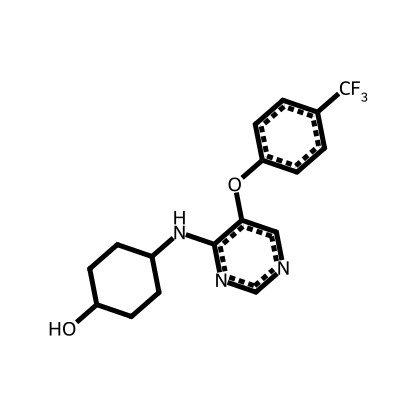 OC1CCC(Nc2ncncc2Oc2ccc(C(F)(F)F)cc2)CC1